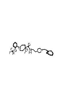 COC1(C(=O)NCCC2CCN(Cc3ccccc3)CC2)CCN(c2ccccc2OC(F)(F)F)CC1